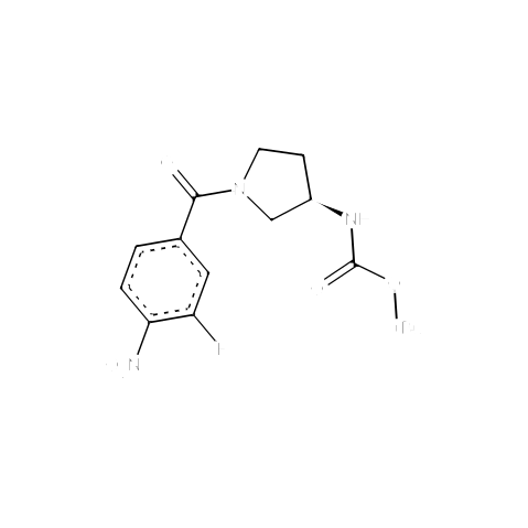 CC(C)(C)OC(=O)N[C@@H]1CCN(C(=O)c2ccc([N+](=O)[O-])c(F)c2)C1